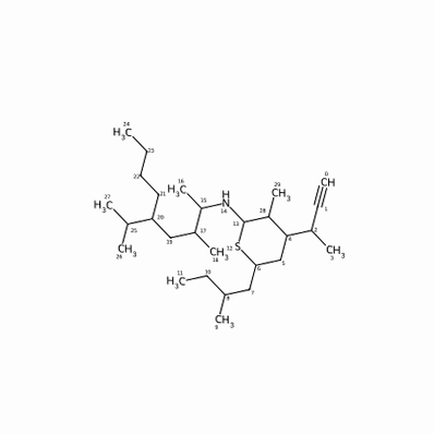 C#CC(C)C1CC(CC(C)CC)SC(NC(C)C(C)CC(CCCC)C(C)C)C1C